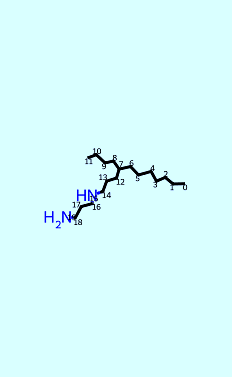 CCCCCCCC(CCCC)CCCNCCCN